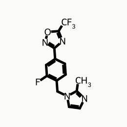 Cc1nccn1Cc1ccc(-c2noc(C(F)(F)F)n2)cc1F